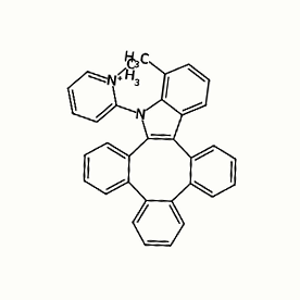 Cc1cccc2c3c(n(-c4cccc[n+]4C)c12)-c1ccccc1-c1ccccc1-c1ccccc1-3